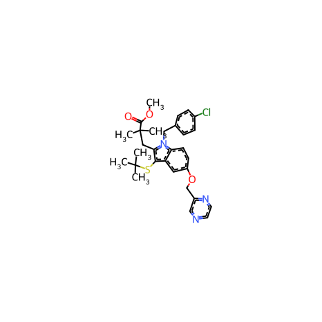 COC(=O)C(C)(C)Cc1c(SC(C)(C)C)c2cc(OCc3cnccn3)ccc2n1Cc1ccc(Cl)cc1